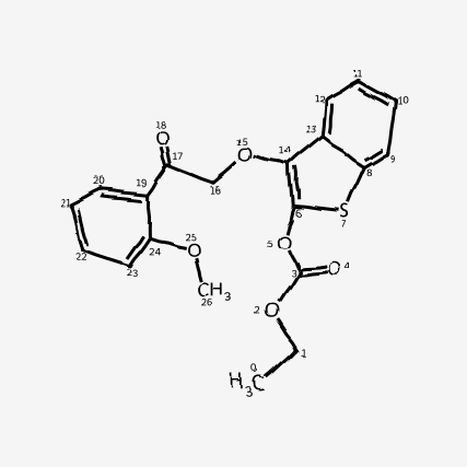 CCOC(=O)Oc1sc2ccccc2c1OCC(=O)c1ccccc1OC